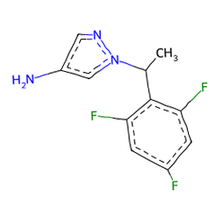 CC(c1c(F)cc(F)cc1F)n1cc(N)cn1